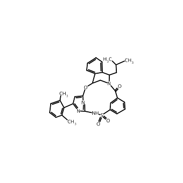 Cc1cccc(C)c1-c1cc2nc(n1)NS(=O)(=O)c1cccc(c1)C(=O)N1CC(O2)c2ccccc2C1CC(C)C